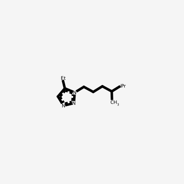 CCc1cnnn1CCCC(C)C(C)C